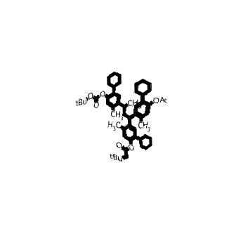 CC(=O)Oc1cc(C)c(C(CC(C)c2cc(C3CCCCC3)c(OC(=O)OC(C)(C)C)cc2C)c2cc(C3CCCCC3)c(OC(=O)CC(C)(C)C)cc2C)cc1C1CCCCC1